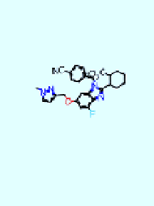 Cn1ccc(COc2cc(F)c3nc(C4CCCCC4C(=O)O)n(Cc4ccc(C#N)cc4)c3c2)n1